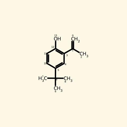 C=C(C)c1cc(C(C)(C)C)ccc1O